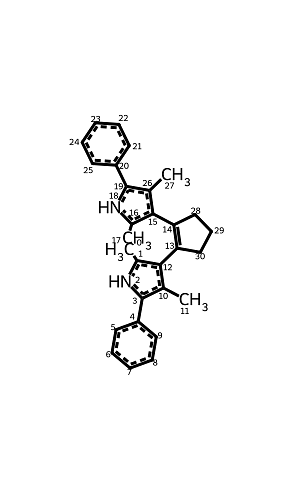 Cc1[nH]c(-c2ccccc2)c(C)c1C1=C(c2c(C)[nH]c(-c3ccccc3)c2C)CCC1